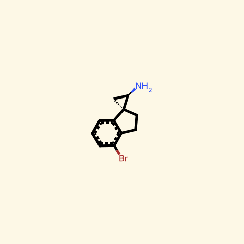 N[C@@H]1C[C@@]12CCc1c(Br)cccc12